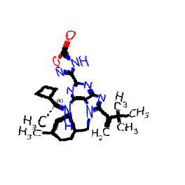 C=C(c1nc2nc(-c3noc(=O)[nH]3)nc(N[C@H](C)C3CCC3)c2n1CC1CCC(C)CC1)C(C)(C)C